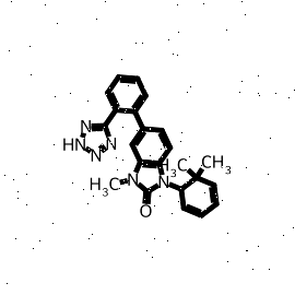 Cn1c(=O)n(C2C=CC=CC2(C)C)c2ccc(-c3ccccc3-c3nn[nH]n3)cc21